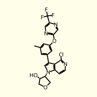 Cc1cc(Oc2cnc(C(F)(F)F)cn2)cc(-c2cn([C@H]3COC[C@H]3O)c3ccnc(Cl)c23)c1